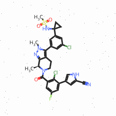 C[C@H]1c2nn(C)c(-c3cc(Cl)cc(C4(NS(C)(=O)=O)CC4)c3)c2CCN1C(=O)c1cc(F)cc(-c2c[nH]c(C#N)c2)c1Cl